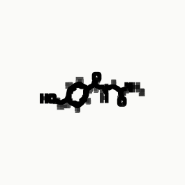 NC(=O)CNC(=O)c1ccc(CO)cc1